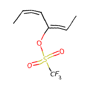 C/C=C\C(=C/C)OS(=O)(=O)C(F)(F)F